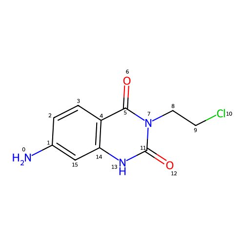 Nc1ccc2c(=O)n(CCCl)c(=O)[nH]c2c1